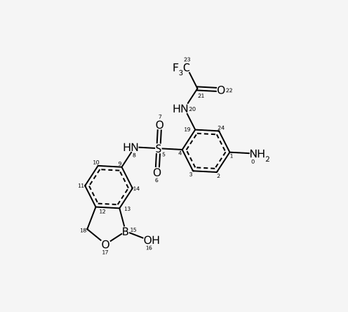 Nc1ccc(S(=O)(=O)Nc2ccc3c(c2)B(O)OC3)c(NC(=O)C(F)(F)F)c1